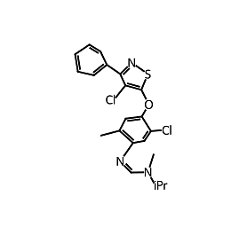 Cc1cc(Oc2snc(-c3ccccc3)c2Cl)c(Cl)cc1/N=C\N(C)C(C)C